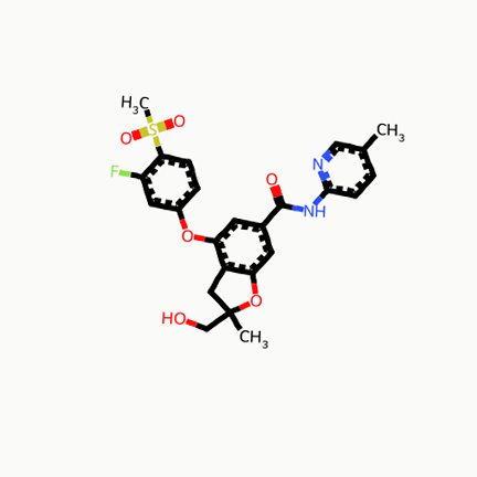 Cc1ccc(NC(=O)c2cc(Oc3ccc(S(C)(=O)=O)c(F)c3)c3c(c2)OC(C)(CO)C3)nc1